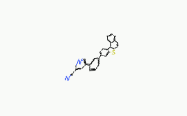 N#Cc1cncc(-c2cccc(-c3ccc4c(c3)sc3ccc5ccccc5c34)c2)c1